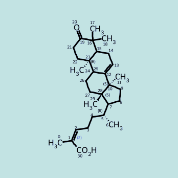 C/C(=C/CC[C@@H](C)C1CC[C@]2(C)C3=CCC4C(C)(C)C(=O)CC[C@]4(C)C3CC[C@@]12C)C(=O)O